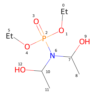 CCOP(=O)(OCC)N(C(C)O)C(C)O